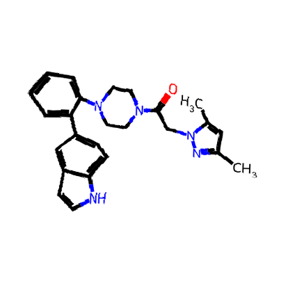 Cc1cc(C)n(CC(=O)N2CCN(c3ccccc3-c3ccc4[nH]ccc4c3)CC2)n1